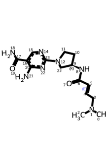 CN(C)C/C=C/C(=O)N[C@@H]1CCN(c2ncc(C(N)=O)c(N)n2)C1